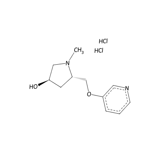 CN1C[C@H](O)C[C@H]1COc1cccnc1.Cl.Cl